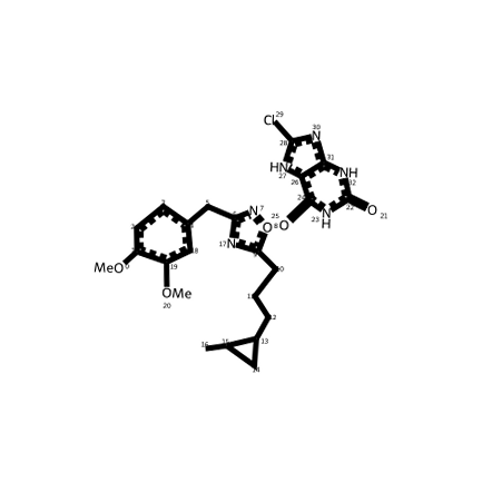 COc1ccc(Cc2noc(CCCC3CC3C)n2)cc1OC.O=c1[nH]c(=O)c2[nH]c(Cl)nc2[nH]1